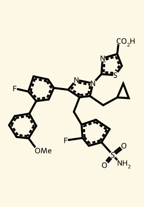 COc1cccc(-c2cc(-c3nn(-c4nc(C(=O)O)cs4)c(CC4CC4)c3Cc3ccc(S(N)(=O)=O)cc3F)ccc2F)c1